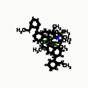 CCc1ccccc1-c1cccc2c1C=C(C(C)C)[CH]2[Zr]([Cl])([Cl])([BH]N([Si](C)(C)C)[Si](C)(C)C)[CH]1C(C(C)C)=Cc2c(-c3ccccc3CC)cccc21